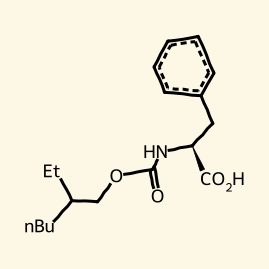 CCCCC(CC)COC(=O)N[C@@H](Cc1ccccc1)C(=O)O